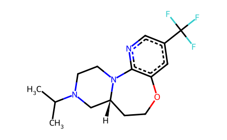 CC(C)N1CCN2c3ncc(C(F)(F)F)cc3OCC[C@@H]2C1